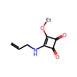 C=CCNc1c(OCC)c(=O)c1=O